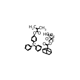 C=C(C)C(=O)Oc1ccc([S+](c2ccccc2)c2ccccc2)cc1.O=C(OCC(F)(F)S(=O)(=O)O)C12CC3CC(CC(C3)C1)C2